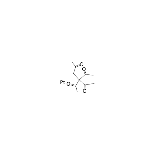 CC(=O)CC(C(C)=O)(C(C)=O)C(C)=O.[Pt]